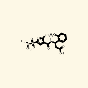 Cc1ccccc1C(CC(=O)O)NC(=O)c1cc(S(=O)(=O)N(C)C)oc1C